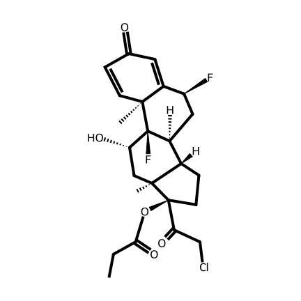 CCC(=O)O[C@]1(C(=O)CCl)CC[C@H]2[C@@H]3C[C@H](F)C4=CC(=O)C=C[C@]4(C)[C@@]3(F)[C@@H](O)C[C@@]21C